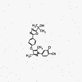 Cc1nn(-c2ccc(C#N)c(Cl)c2)c(C)c1Oc1ccc(-c2nnc(C(C)(C)O)o2)cc1